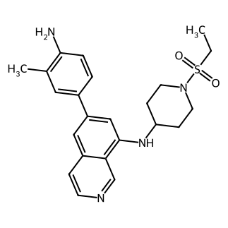 CCS(=O)(=O)N1CCC(Nc2cc(-c3ccc(N)c(C)c3)cc3ccncc23)CC1